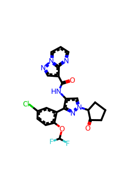 O=C(Nc1cn(C2CCCC2=O)nc1-c1cc(Cl)ccc1OC(F)F)c1cnn2cccnc12